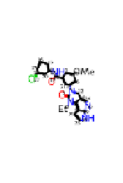 CCN1C(=O)N(c2cc(OC)cc(C(=O)Nc3cccc(Cl)c3)c2)Cc2cnc3[nH]ccc3c21